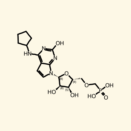 O=P(O)(O)COC[C@H]1O[C@@H](n2ccc3c(NC4CCCC4)nc(O)nc32)[C@H](O)[C@@H]1O